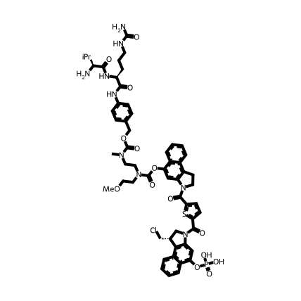 COCCN(CCN(C)C(=O)OCc1ccc(NC(=O)[C@H](CCCNC(N)=O)NC(=O)[C@@H](N)C(C)C)cc1)C(=O)Oc1cc2c(c3ccccc13)CCN2C(=O)c1ccc(C(=O)N2C[C@@H](CCl)c3c2cc(OP(=O)(O)O)c2ccccc32)s1